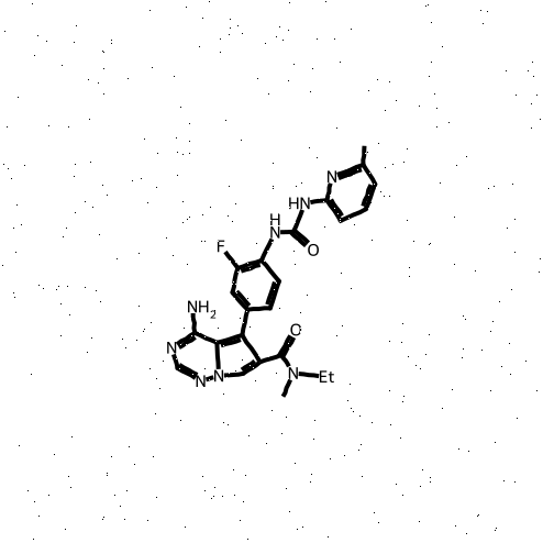 CCN(C)C(=O)c1cn2ncnc(N)c2c1-c1ccc(NC(=O)Nc2cccc(C)n2)c(F)c1